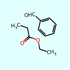 CCOC(=O)CC.O=Cc1ccccc1